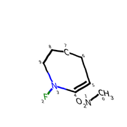 C[N+](=O)[O-].FN1C=CCCCC1